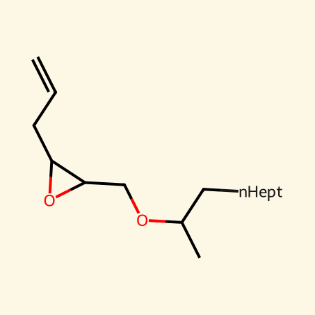 C=CCC1OC1COC(C)CCCCCCCC